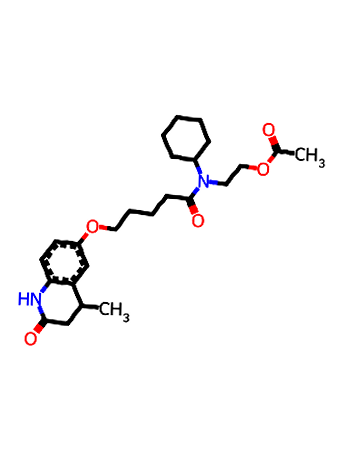 CC(=O)OCCN(C(=O)CCCCOc1ccc2c(c1)C(C)CC(=O)N2)C1CCCCC1